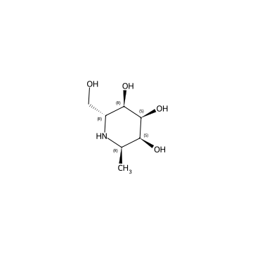 C[C@H]1N[C@H](CO)[C@@H](O)[C@@H](O)[C@H]1O